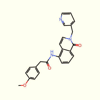 COc1ccc(CC(=O)Nc2cccc3c(=O)n(Cc4cccnc4)ccc23)cc1